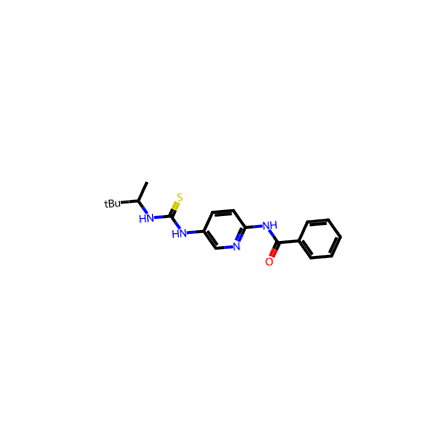 CC(NC(=S)Nc1ccc(NC(=O)c2ccccc2)nc1)C(C)(C)C